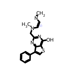 C=N/C=C\N(C)Cc1nc(O)c2scc(-c3ccccc3)c2n1